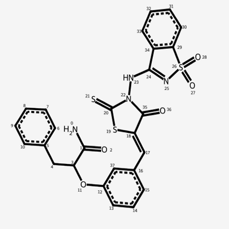 NC(=O)C(Cc1ccccc1)Oc1cccc(C=C2SC(=S)N(NC3=NS(=O)(=O)c4ccccc43)C2=O)c1